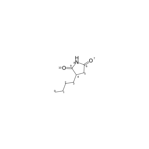 CCCCC1CC(=O)NC1=O